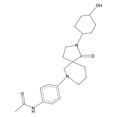 CC(=O)Nc1ccc(N2CCCC3(CCN(C4CCC(O)CC4)C3=O)C2)cc1